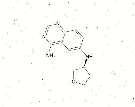 Nc1ncnc2ccc(N[C@H]3CCOC3)cc12